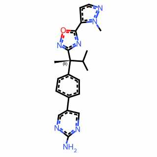 CC(C)[C@](C)(c1ccc(-c2cnc(N)nc2)cc1)c1noc(-c2ccnn2C)n1